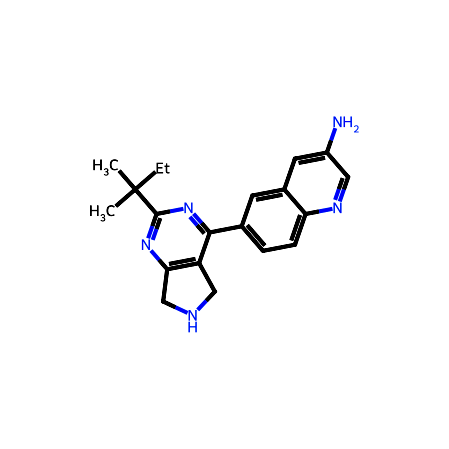 CCC(C)(C)c1nc2c(c(-c3ccc4ncc(N)cc4c3)n1)CNC2